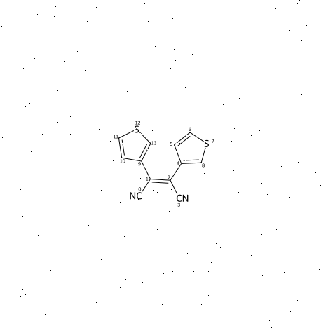 N#C/C(=C(\C#N)c1ccsc1)c1ccsc1